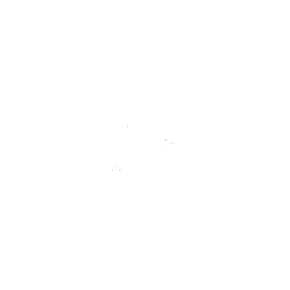 [I-].[Zn+][CH]1CCOC1